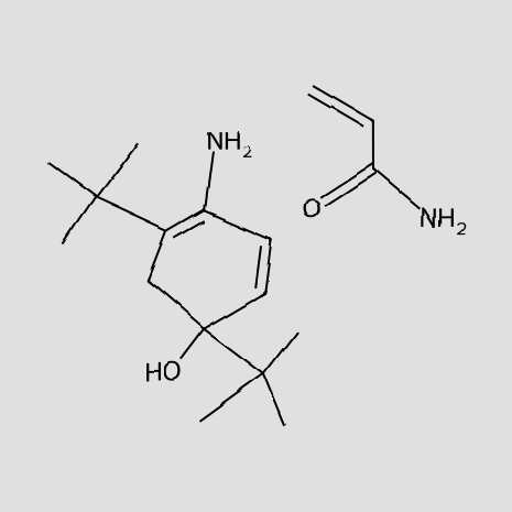 C=CC(N)=O.CC(C)(C)C1=C(N)C=CC(O)(C(C)(C)C)C1